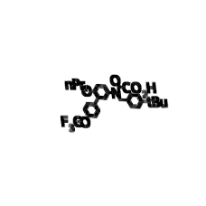 CCCOc1ccc(N(Cc2ccc(C(C)(C)C)cc2)C(=O)C(=O)O)cc1-c1ccc(OC(F)(F)F)cc1